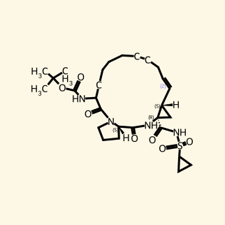 CC(C)(C)OC(=O)NC1CCCCCCC/C=C\[C@@H]2C[C@@]2(C(=O)NS(=O)(=O)C2CC2)NC(=O)[C@@H]2CCCN2C1=O